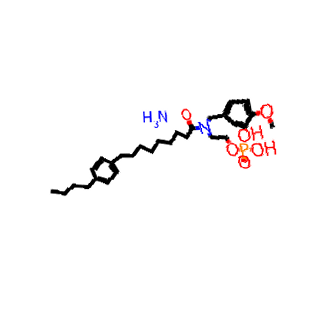 CCCCc1ccc(CCCCCCCCC(=O)N(CCOP(=O)(O)O)Cc2ccc(OC)cc2)cc1.N